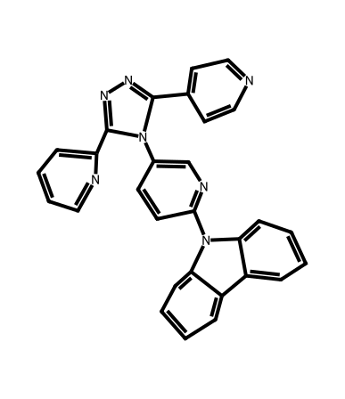 c1ccc(-c2nnc(-c3ccncc3)n2-c2ccc(-n3c4ccccc4c4ccccc43)nc2)nc1